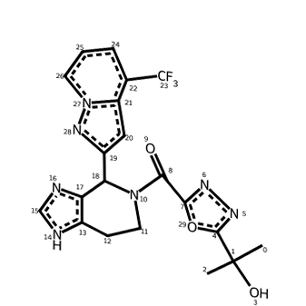 CC(C)(O)c1nnc(C(=O)N2CCc3[nH]cnc3C2c2cc3c(C(F)(F)F)cccn3n2)o1